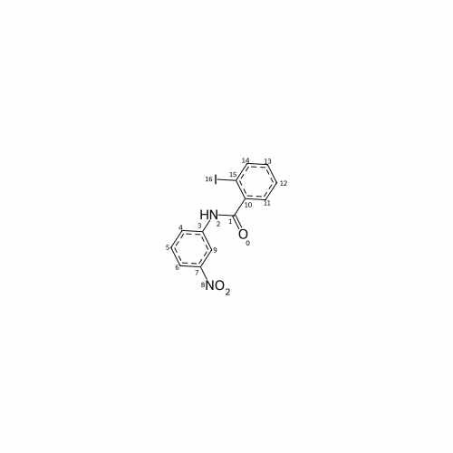 O=C(Nc1cccc([N+](=O)[O-])c1)c1ccccc1I